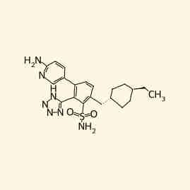 CC[C@H]1CC[C@H](Cc2ccc(-c3ccc(N)nc3)c(-c3nnn[nH]3)c2S(N)(=O)=O)CC1